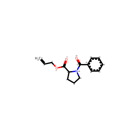 C=CCOC(=O)C1CCCN1C(=O)c1ccccc1